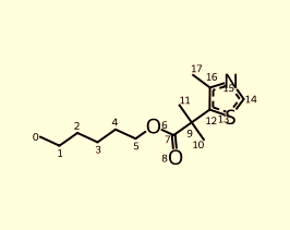 CCCCCCOC(=O)C(C)(C)c1scnc1C